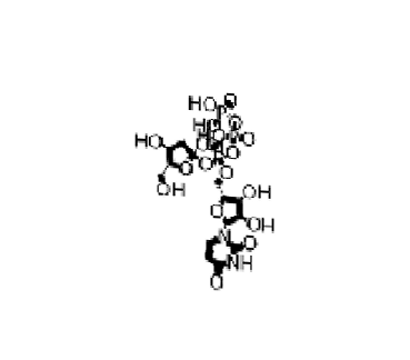 O=c1ccn([C@@H]2O[C@H](COP(=O)(O[C@]3(O)C[C@H](O)[C@@H](CO)O3)OP(=O)(O)OP(=O)(O)O)[C@@H](O)[C@H]2O)c(=O)[nH]1